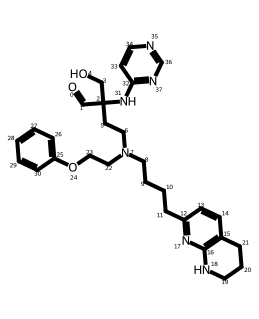 O=CC(CO)(CCN(CCCCc1ccc2c(n1)NCCC2)CCOc1ccccc1)Nc1ccncn1